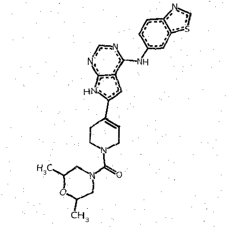 CC1CN(C(=O)N2CC=C(c3cc4c(Nc5ccc6ncsc6c5)ncnc4[nH]3)CC2)CC(C)O1